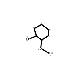 CCC1CCCCC1OC(C)(C)C